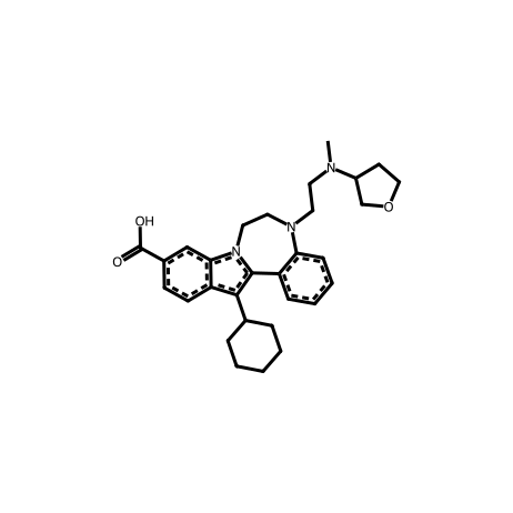 CN(CCN1CCn2c(c(C3CCCCC3)c3ccc(C(=O)O)cc32)-c2ccccc21)C1CCOC1